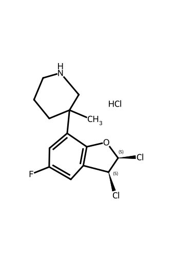 CC1(c2cc(F)cc3c2O[C@@H](Cl)[C@H]3Cl)CCCNC1.Cl